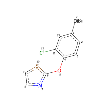 CC(C)COc1ccc(Oc2nccs2)c(Cl)c1